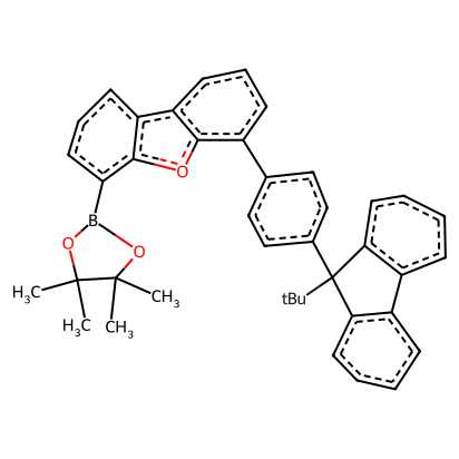 CC(C)(C)C1(c2ccc(-c3cccc4c3oc3c(B5OC(C)(C)C(C)(C)O5)cccc34)cc2)c2ccccc2-c2ccccc21